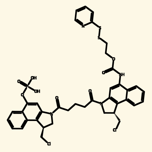 O=C(Nc1cc2c(c3ccccc13)[C@H](CCl)CN2C(=O)CCCC(=O)N1C[C@@H](CCl)c2c1cc(OP(=O)(O)O)c1ccccc21)OCCSSc1ccccn1